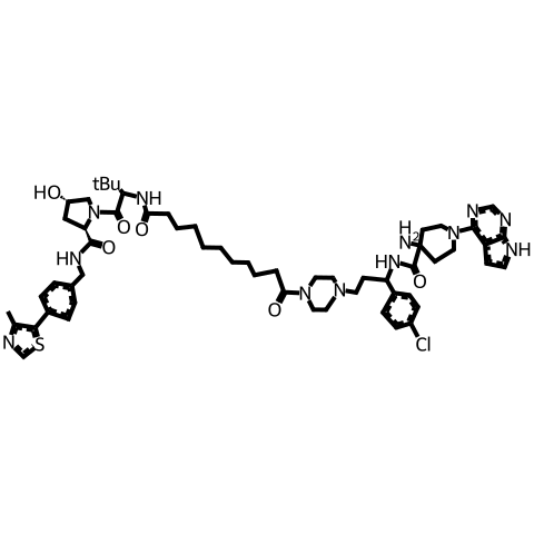 Cc1ncsc1-c1ccc(CNC(=O)[C@H]2C[C@H](O)CN2C(=O)C(NC(=O)CCCCCCCCCC(=O)N2CCN(CCC(NC(=O)C3(N)CCN(c4ncnc5[nH]ccc45)CC3)c3ccc(Cl)cc3)CC2)C(C)(C)C)cc1